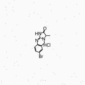 CC1C(=O)NC2=Nc3ccc(Br)cc3CN21.Cl